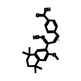 COc1cc2c(cc1C(/C=C\c1ccc(C(=O)O)cc1)=NO)C(C)(C)CCC2(C)C